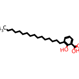 CCCCCCCCCCCCCCCCc1cccc(C(=O)O)c1O